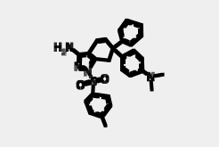 Cc1ccc(S(=O)(=O)n2nc(N)c3c2CC(c2ccccc2)(c2ccc(N(C)C)cc2)C=C3)cc1